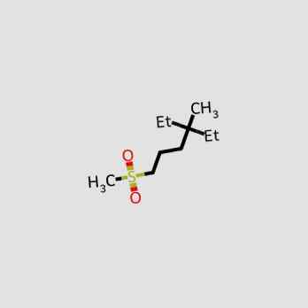 CCC(C)(CC)CCCS(C)(=O)=O